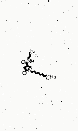 CCCCCCCCCN1CC(C(=O)NCCCC)CC1=O